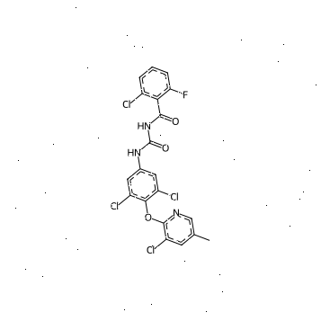 Cc1cnc(Oc2c(Cl)cc(NC(=O)NC(=O)c3c(F)cccc3Cl)cc2Cl)c(Cl)c1